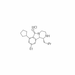 CCc1cc(C2CCCC2)c2c(c1)C1[C@H](CC(C)C)NCCN1C2=O.Cl